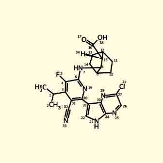 CC(C)c1c(F)c(NC2C3CCC(CC3)[C@H]2C(=O)O)nc(-c2c[nH]c3ncc(Cl)nc23)c1C#N